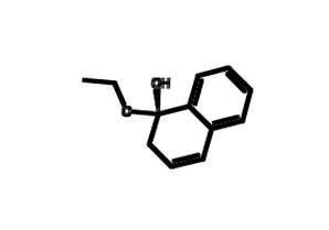 CCO[C@@]1(O)CC=Cc2ccccc21